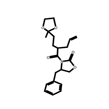 C=CCC(CCC1(C)OCCO1)C(=O)N1C(=O)OCC1Cc1ccccc1